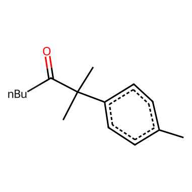 CCCCC(=O)C(C)(C)c1ccc(C)cc1